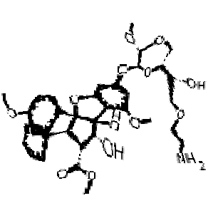 COC(=O)[C@H]1[C@@H](O)[C@@]2(O)c3c(OC)cc(O[C@@H]4O[C@@H]([C@H](O)COCCN)CO[C@H]4OC)cc3O[C@@]2(c2ccc(OC)cc2)[C@@H]1c1ccccc1